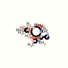 CC[C@H]1OC(=O)[C@H](C)[C@@H](O[C@H]2C[C@@](C)(OC)[C@@H](O)[C@H](C)O2)[C@H](C)[C@@H](O[C@@H]2O[C@H](C)C[C@H](N(C)CCCc3cccnc3)[C@H]2O)[C@](C)(O)C[C@@H](C)CN(C)[C@H](C)[C@@H](O)[C@]1(C)O